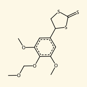 COCOc1c(OC)cc(C2CSC(=S)S2)cc1OC